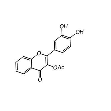 CC(=O)Oc1c(-c2ccc(O)c(O)c2)oc2ccccc2c1=O